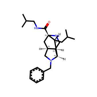 CC(C)CNC(=O)[C@@]12C[C@@H]3CN(Cc4ccccc4)[C@@H]([C@@H]3CN1)[C@H]2CC(C)C